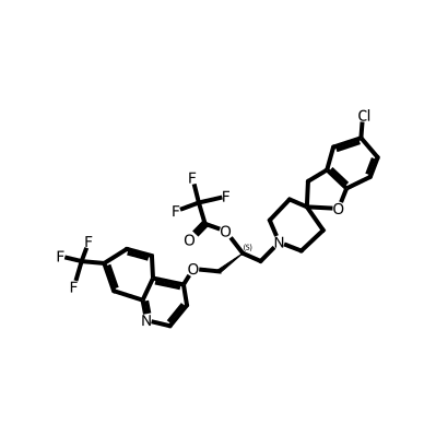 O=C(O[C@H](COc1ccnc2cc(C(F)(F)F)ccc12)CN1CCC2(CC1)Cc1cc(Cl)ccc1O2)C(F)(F)F